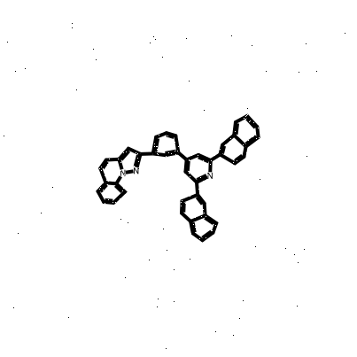 c1cc(-c2cc(-c3ccc4ccccc4c3)nc(-c3ccc4ccccc4c3)c2)cc(-c2cc3ccc4ccccc4n3n2)c1